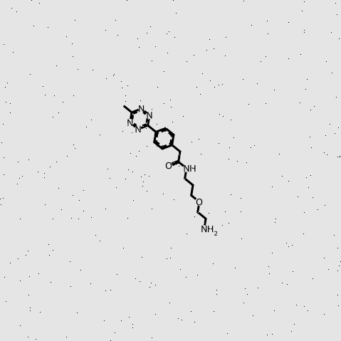 Cc1nnc(-c2ccc(CC(=O)NCCCOCCN)cc2)nn1